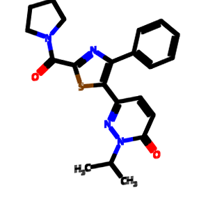 CC(C)n1nc(-c2sc(C(=O)N3CCCC3)nc2-c2ccccc2)ccc1=O